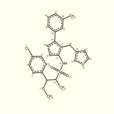 COC(c1ncc(Cl)cn1)C(C)S(=O)(=O)Nc1nnc(-c2cncc(C)c2)n1Cc1ccon1